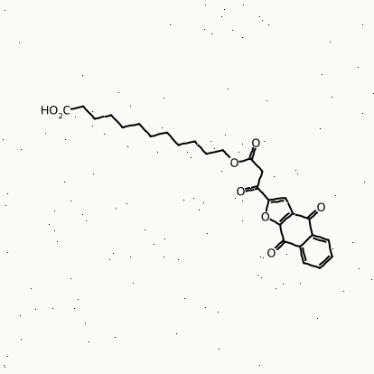 O=C(O)CCCCCCCCCCCOC(=O)CC(=O)c1cc2c(o1)C(=O)c1ccccc1C2=O